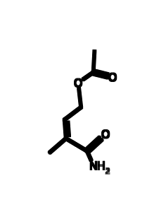 CC(=O)OCC=C(C)C(N)=O